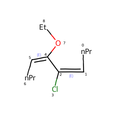 CCC/C=C(Cl)\C(=C/CCC)OCC